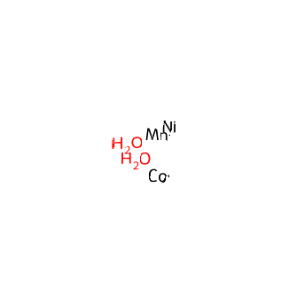 O.O.[Co].[Mn].[Ni]